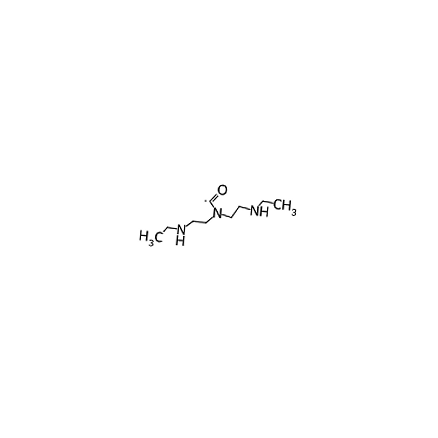 CCNCCN([C]=O)CCNCC